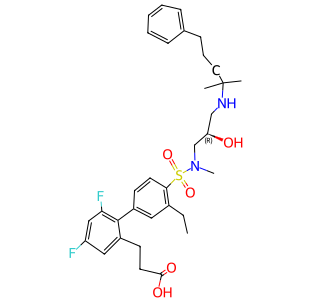 CCc1cc(-c2c(F)cc(F)cc2CCC(=O)O)ccc1S(=O)(=O)N(C)C[C@H](O)CNC(C)(C)CCCc1ccccc1